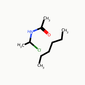 CC(=O)NC(C)Cl.CCCCCC